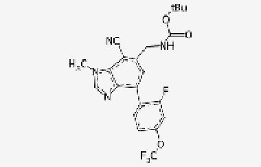 Cn1cnc2c(-c3ccc(OC(F)(F)F)cc3F)cc(CNC(=O)OC(C)(C)C)c(C#N)c21